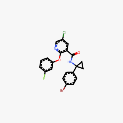 O=C(NC1(c2ccc(Br)cc2)CC1)c1cc(Cl)cnc1Oc1cccc(F)c1